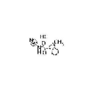 Cl.Cn1cc(C(=O)C(=O)NC23CCN(CC2)CC3)c2ccccc21